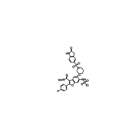 CCS(=O)(=O)Nc1cc2oc(-c3ccc(F)cc3)c(C(=O)NC)c2cc1[C@@H]1CCCN(S(=O)(=O)c2ccc3c(c2)CC(=O)N3)C1